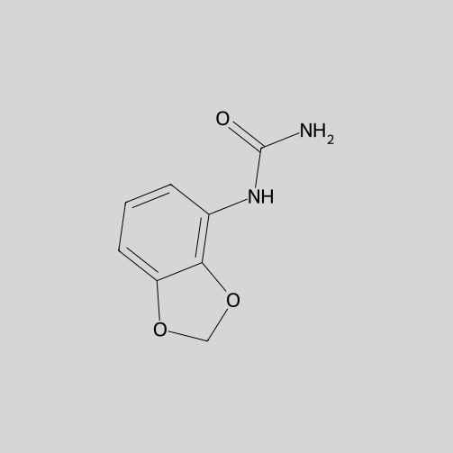 NC(=O)Nc1cccc2c1OCO2